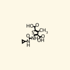 Cc1c(C(=O)O)sc(NC(=O)NC2CC2)c1C(=O)O